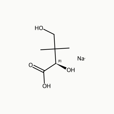 CC(C)(CO)[C@@H](O)C(=O)O.[Na]